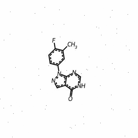 Cc1cc(-n2ncc3c(=O)[nH]cnc32)ccc1F